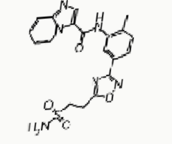 Cc1ccc(-c2noc(CCS(N)(=O)=O)n2)cc1NC(=O)c1cnc2ccccn12